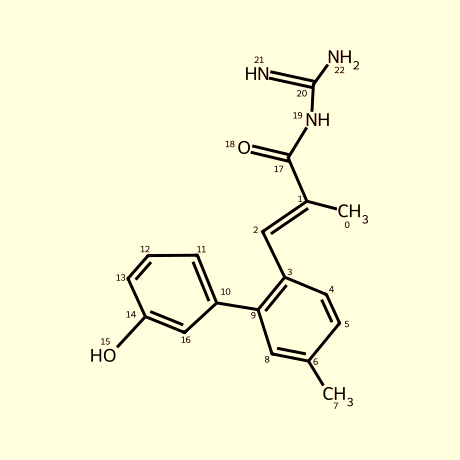 C/C(=C\c1ccc(C)cc1-c1cccc(O)c1)C(=O)NC(=N)N